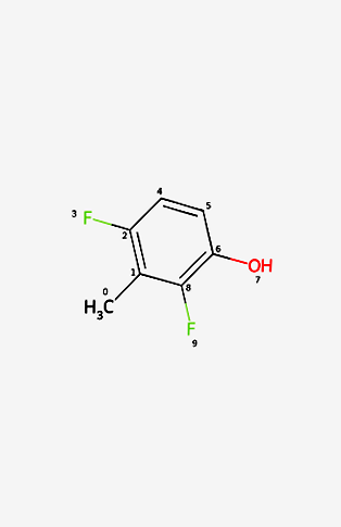 Cc1c(F)ccc(O)c1F